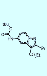 CCOC(=O)c1c(C(C)C)nn2ccc(NC(=O)OC(C)(C)C)cc12